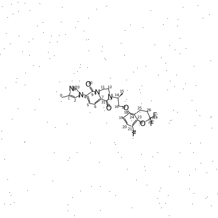 Cc1cn(-c2ccc3n(c2=O)CCN([C@@H](C)COc2ccc(F)c4c2CCC(F)(F)O4)C3=O)cn1